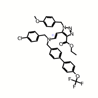 CCOC(=O)c1nnn(Cc2ccc(OC)cc2)c1/C=C/N(Cc1ccc(Cl)cc1)Cc1ccc(-c2ccc(OC(F)(F)F)cc2)cc1